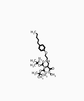 CCCCCc1ccc(OCCNCC(C(=O)OC)N(C(=O)OC(C)(C)C)C(=O)OC(C)(C)C)cc1